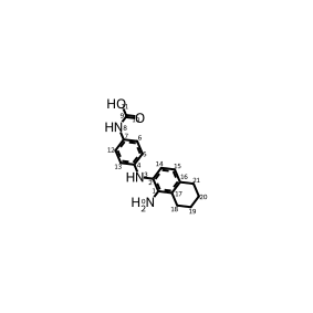 Nc1c(Nc2ccc(NC(=O)O)cc2)ccc2c1CCCC2